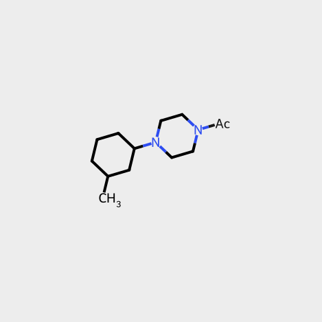 CC(=O)N1CCN(C2CCCC(C)C2)CC1